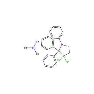 BrC1(Br)CCP(c2ccccc2)C1(c1ccccc1)c1ccccc1.CCN(CC)CC